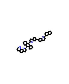 c1ccc2cc(-c3ccc4ccc(-c5ccc6ccc(-c7c8ccccc8c(-c8ccc9ccc%10cccnc%10c9n8)c8ccccc78)nc6c5)cc4n3)ccc2c1